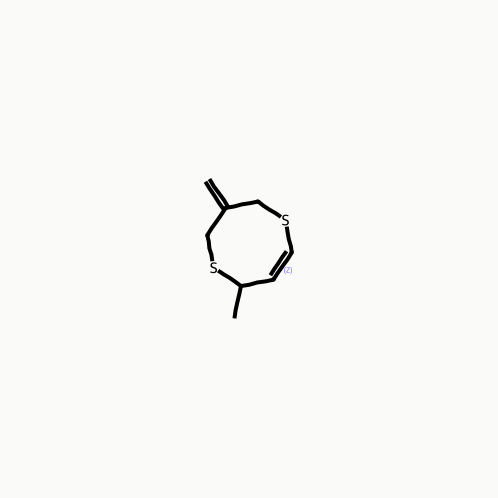 C=C1CS/C=C\C(C)SC1